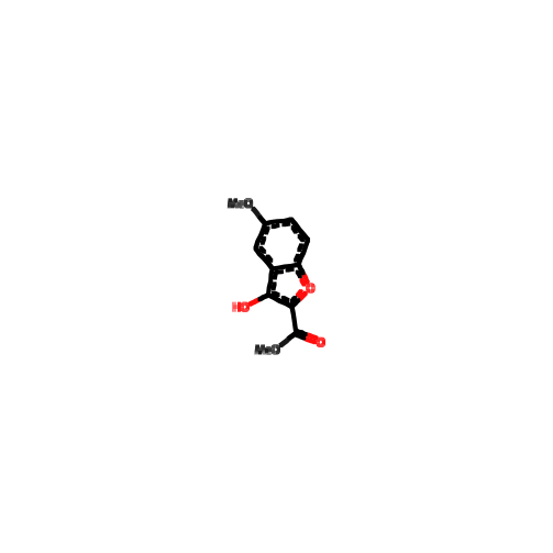 COC(=O)c1oc2ccc(OC)cc2c1O